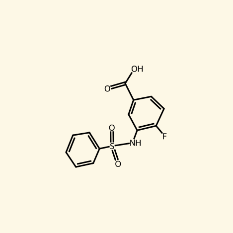 O=C(O)c1ccc(F)c(NS(=O)(=O)c2ccccc2)c1